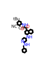 COc1c(C#N)cc(C(C)(C)C)cc1NC(=O)C(=O)c1ccc(Nc2ccnc(NCc3ccccc3)c2)c2ccccc12